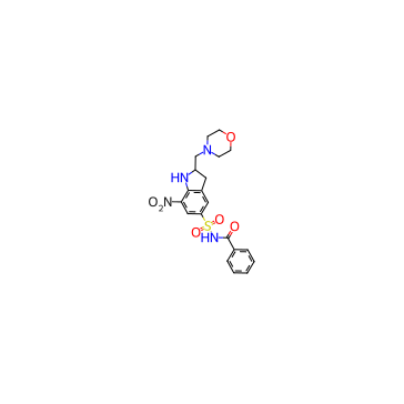 O=C(NS(=O)(=O)c1cc2c(c([N+](=O)[O-])c1)NC(CN1CCOCC1)C2)c1ccccc1